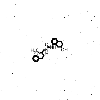 CN1c2ccccc2CCC1CNC(=O)Nc1cccc2c1CC(O)CC2